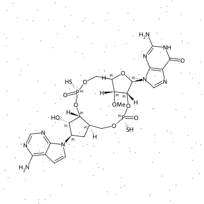 CO[C@H]1[C@H]2O[P@](=O)(S)OC[C@H]3C[C@@H](n4ccc5c(N)ncnc54)[C@H](O)[C@@H]3O[P@](=O)(S)OC[C@H]1O[C@H]2n1cnc2c(=O)[nH]c(N)nc21